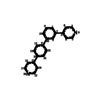 c1cc(-c2ccncc2)cc(-c2ccc(-c3ccncc3)cc2)c1